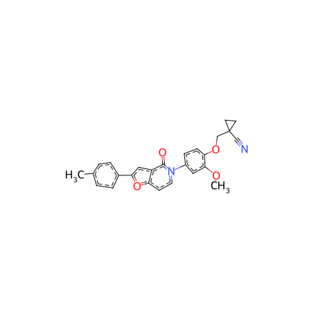 COc1cc(-n2ccc3oc(-c4ccc(C)cc4)cc3c2=O)ccc1OCC1(C#N)CC1